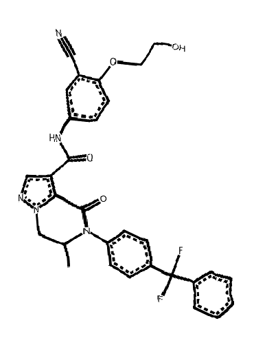 CC1Cn2ncc(C(=O)Nc3ccc(OCCO)c(C#N)c3)c2C(=O)N1c1ccc(C(F)(F)c2ccccc2)cc1